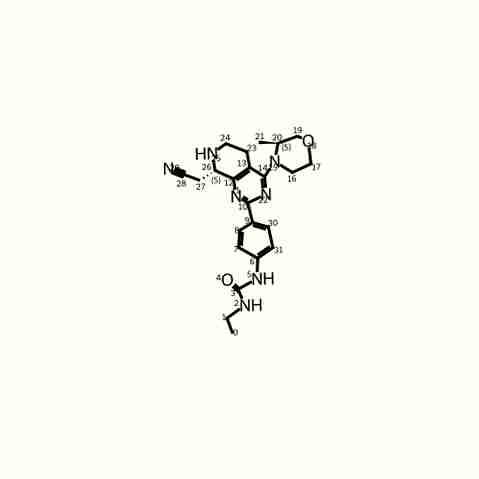 CCNC(=O)Nc1ccc(-c2nc3c(c(N4CCOC[C@@H]4C)n2)CCN[C@H]3CC#N)cc1